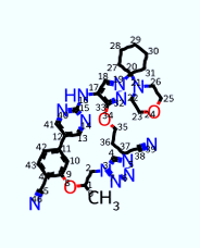 CC(Cn1cnnn1)Oc1cc(-c2cnc(Nc3cn(C4(N5CCOCC5)CCCCC4)nc3OCCCC#N)nc2)ccc1C#N